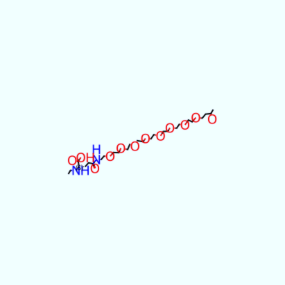 CCN[C@@H](CCC(=O)NCCOCCOCCOCCOCCOCCOCCOCCOCCC(C)=O)C(=O)O